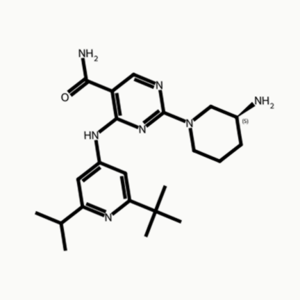 CC(C)c1cc(Nc2nc(N3CCC[C@H](N)C3)ncc2C(N)=O)cc(C(C)(C)C)n1